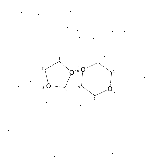 C1COCCO1.C1COCO1